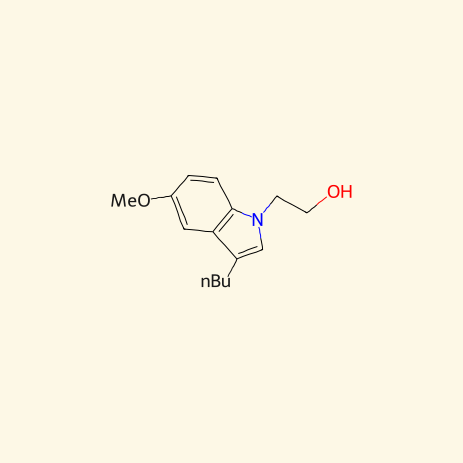 CCCCc1cn(CCO)c2ccc(OC)cc12